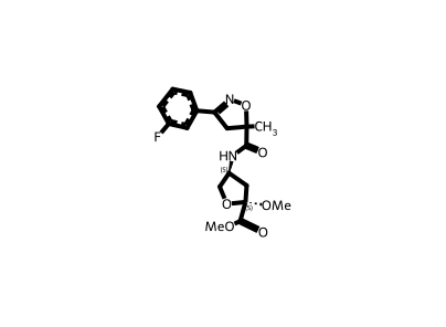 COC(=O)[C@]1(OC)C[C@H](NC(=O)C2(C)CC(c3cccc(F)c3)=NO2)CO1